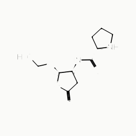 CCO[C@@H]1OC(=O)C[C@@H]1NC(=O)[C@@H]1CCCN1